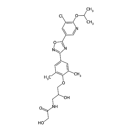 Cc1cc(-c2noc(-c3cnc(OC(C)C)c(Cl)c3)n2)cc(C)c1OCC(O)CNC(=O)CO